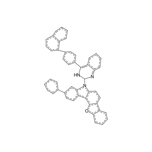 c1ccc(-c2ccc3c4c5oc6ccccc6c5ccc4n(C4N=c5ccccc5=C(c5ccc(-c6cccc7ccccc67)cc5)N4)c3c2)cc1